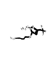 CCCC[N]c1cc(C(F)(F)F)nn1C